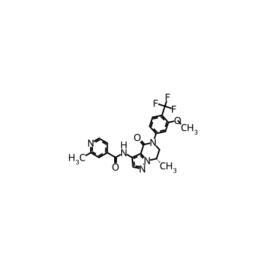 COc1cc(N2C[C@H](C)n3ncc(NC(=O)c4ccnc(C)c4)c3C2=O)ccc1C(F)(F)F